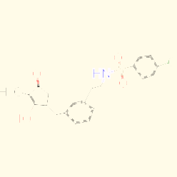 CC1=C(O)C(Cc2cccc(CCNS(=O)(=O)c3ccc(Cl)cc3)c2)CC1=O